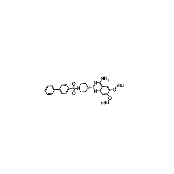 CCCCOc1cc2nc(N3CCN(S(=O)(=O)c4ccc(-c5ccccc5)cc4)CC3)nc(N)c2cc1OCCCC